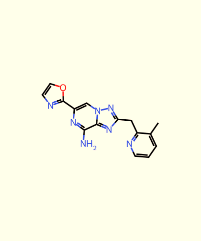 Cc1cccnc1Cc1nc2c(N)nc(-c3ncco3)cn2n1